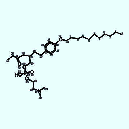 CCCCCCCCCCCOc1ccc(CCC(COP(=O)(O)OCCN(C)C)CC(=O)CC)cc1